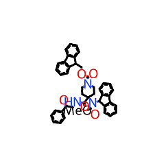 COC(=O)N(C1c2ccccc2-c2ccccc21)C1(C(=O)NCC(=O)c2ccccc2)CCN(C(=O)OCC2c3ccccc3-c3ccccc32)CC1